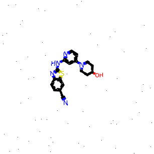 N#Cc1ccc2nc(Nc3cc(N4CCC(O)CC4)ccn3)sc2c1